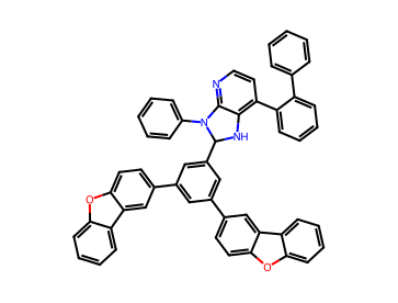 c1ccc(-c2ccccc2-c2ccnc3c2NC(c2cc(-c4ccc5oc6ccccc6c5c4)cc(-c4ccc5oc6ccccc6c5c4)c2)N3c2ccccc2)cc1